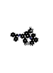 COc1ccc(N(c2ccc(/C=C/C=C(c3ccccc3)c3ccccc3)cc2)c2cc(/C=C/C(=C(c3ccccc3)c3ccccc3)c3ccncc3)cc3c(-c4ccnc(C)c4)cccc23)cc1